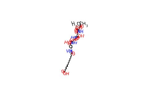 CC(C)C(=O)CC[C@H](NC(=O)CC[C@H](NC(=O)CC[C@H](NC(=O)[C@H]1CC[C@H](CNC(=O)CCCCCCCCCCCCCCCCC(=O)O)CC1)C(O)O)C(=O)O)C(=O)O